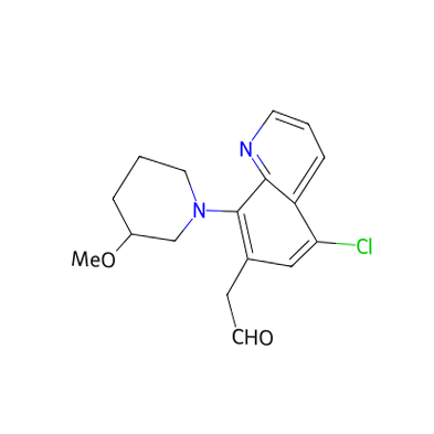 COC1CCCN(c2c(CC=O)cc(Cl)c3cccnc23)C1